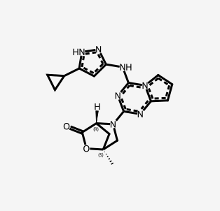 C[C@@]12C[C@H](C(=O)O1)N(c1nc(Nc3cc(C4CC4)[nH]n3)n3cccc3n1)C2